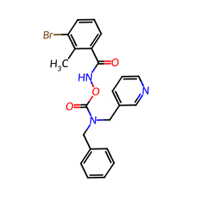 Cc1c(Br)cccc1C(=O)NOC(=O)N(Cc1ccccc1)Cc1cccnc1